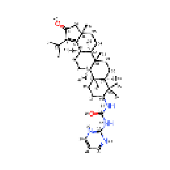 CC(C)C1=C2[C@H]3CC[C@@H]4[C@@]5(C)CCC(NC(=O)Nc6ncccn6)C(C)(C)[C@@H]5CC[C@@]4(C)[C@]3(C)CC[C@@]2(C)CC1=O